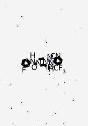 CC(C)C1CN(C(=O)Nc2cccc(F)c2)CCN1/C(=N/C#N)Nc1ccccc1C(F)(F)F